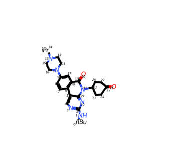 CCCCNc1ncc2c3ccc(N4CCN(C(C)C)CC4)cc3c(=O)n(C3CCC(=O)CC3)c2n1